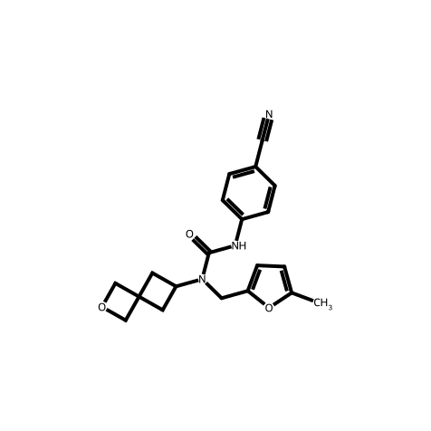 Cc1ccc(CN(C(=O)Nc2ccc(C#N)cc2)C2CC3(COC3)C2)o1